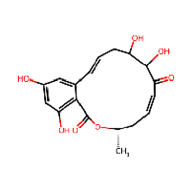 C[C@H]1C/C=C\C(=O)C(O)C(O)C/C=C/c2cc(O)cc(O)c2C(=O)O1